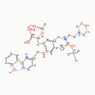 COc1ccccc1-c1nccc(COc2ccc(CN(CCN3CCOCC3)C(=O)OC(C)(C)C)cc2CC(OC(C)=O)C(=O)O)n1